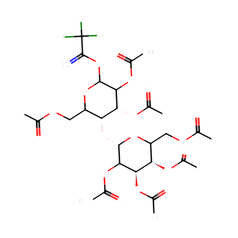 CC(=O)OCC1OC(OC(=N)C(Cl)(Cl)Cl)C(OC(C)=O)[C@H](OC(C)=O)[C@@H]1O[C@@H]1OC(COC(C)=O)[C@@H](OC(C)=O)[C@@H](OC(C)=O)C1OC(C)=O